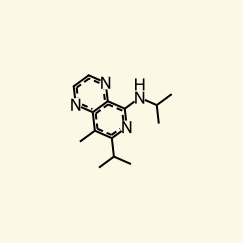 Cc1c(C(C)C)nc(NC(C)C)c2nccnc12